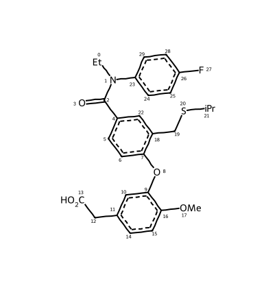 CCN(C(=O)c1ccc(Oc2cc(CC(=O)O)ccc2OC)c(CSC(C)C)c1)c1ccc(F)cc1